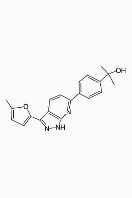 Cc1ccc(-c2n[nH]c3nc(-c4ccc(C(C)(C)O)cc4)ccc23)o1